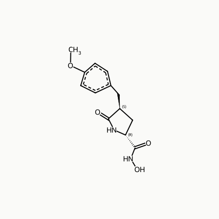 COc1ccc(C[C@H]2C[C@H](C(=O)NO)NC2=O)cc1